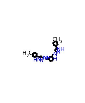 Cc1ccc(-c2cc(NCc3cccc(CNc4cc(-c5ccc(C)cc5)[nH]n4)c3)n[nH]2)cc1